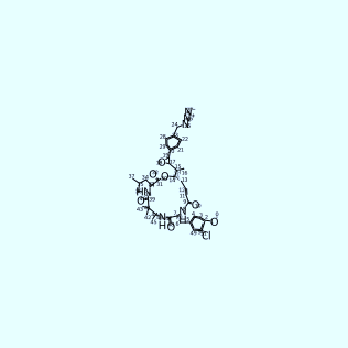 COc1ccc(C[C@H]2NC(=O)C=CC[C@@H]([C@H](C)C3OC3c3ccc(CN=[N+]=[N-])cc3)OC(=O)[C@H](CC(C)C)NC(=O)C(C)(C)C(C)NC2=O)cc1Cl